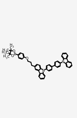 CC1(C)OB(c2ccc(OCCCc3ccc4c(c3)c3ccccc3n4-c3ccc(-c4ccc(-n5c6ccccc6c6ccccc65)cc4)cc3)cc2)OC1(C)C